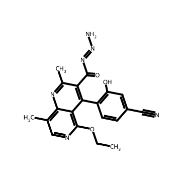 CCOc1ncc(C)c2nc(C)c(C(=O)N=NN)c(-c3ccc(C#N)cc3O)c12